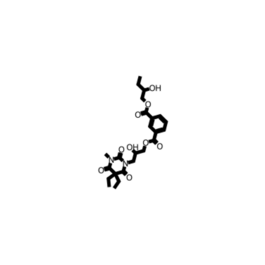 CCC(O)COC(=O)c1cccc(C(=O)OCC(O)CN2C(=O)N(C)C(=O)C(CC)(CC)C2=O)c1